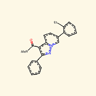 CCc1ccccc1-c1ccc2c(C(=O)NC)c(-c3ccccc3)nn2c1